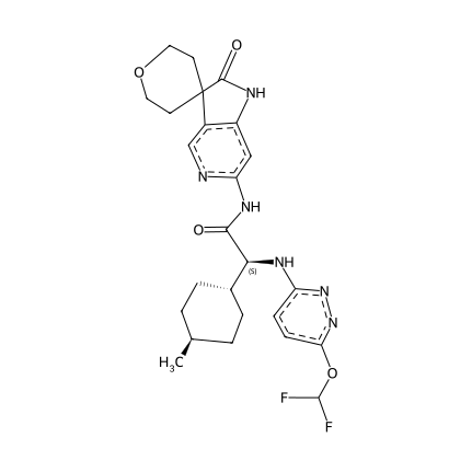 C[C@H]1CC[C@H]([C@H](Nc2ccc(OC(F)F)nn2)C(=O)Nc2cc3c(cn2)C2(CCOCC2)C(=O)N3)CC1